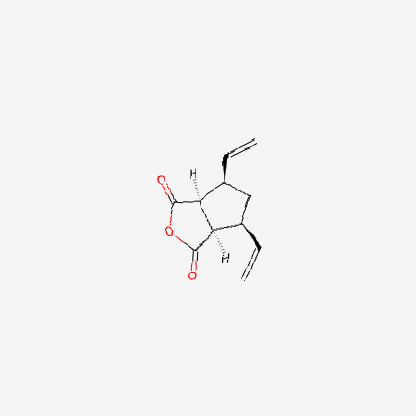 C=C[C@@H]1C[C@H](C=C)[C@@H]2C(=O)OC(=O)[C@@H]21